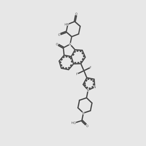 O=C1CCC(N2C(=O)c3cccc4c(C(F)(F)c5cnn(C6CCN(C(=O)O)CC6)c5)ccc2c34)C(=O)N1